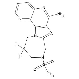 CS(=O)(=O)N1Cc2nc3c(N)nc4ccccc4c3n2CC(F)(F)C1